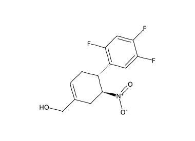 O=[N+]([O-])[C@H]1CC(CO)=CC[C@@H]1c1cc(F)c(F)cc1F